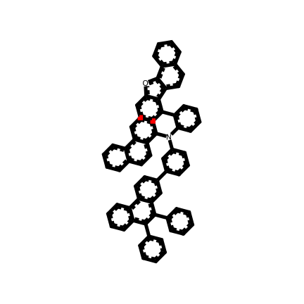 c1ccc(-c2c(-c3ccccc3)c3cc(-c4cccc(N(c5ccccc5-c5cccc6oc7c8ccccc8ccc7c56)c5cccc6c5ccc5ccccc56)c4)ccc3c3ccccc23)cc1